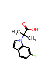 CC(C)(C(=O)O)n1ccc2ccc(F)cc21